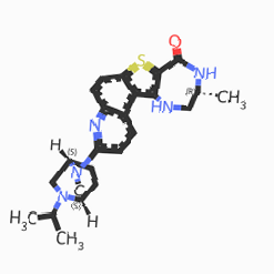 CC(C)N1C[C@@H]2CC[C@H]1CN2c1ccc2c(ccc3sc4c(c32)NC[C@@H](C)NC4=O)n1